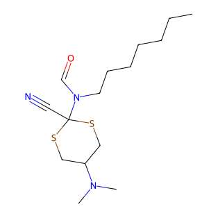 CCCCCCCN(C=O)C1(C#N)SCC(N(C)C)CS1